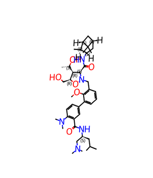 COc1c(CN2O[C@@H](CO)[C@@H]([C@H](C)O)[C@H]2C(=O)N[C@H]2C[C@H]3C[C@@H]([C@@H]2C)C3(C)C)cccc1-c1ccc(N(C)C)c(C(=O)N[C@@H](CC(C)C)CN(C)C)c1